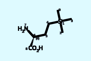 C[Si](C)(C)CC[C@@H](N)C(=O)O